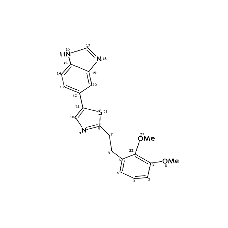 COc1cccc(CCc2ncc(-c3ccc4[nH]cnc4c3)s2)c1OC